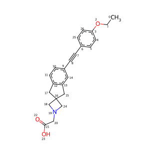 CCOc1ccc(C#Cc2ccc3c(c2)CC2(C3)CN(CC(=O)O)C2)cc1